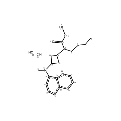 BOC(=O)C(CCCC)C1CC(N(C)c2cccc3cccnc23)C1.Cl.Cl